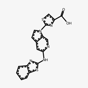 O=C(O)c1csc(-n2ccc3cc(Nc4nc5ccccc5s4)ncc32)n1